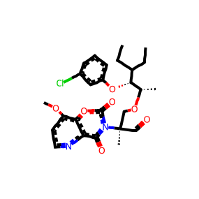 CCC(CC)[C@@H](Oc1cccc(Cl)c1)[C@H](C)OC[C@@](C)(C=O)n1c(=O)oc2c(OC)ccnc2c1=O